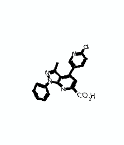 Cc1nn(-c2ccccc2)c2nc(C(=O)O)cc(-c3ccc(Cl)nc3)c12